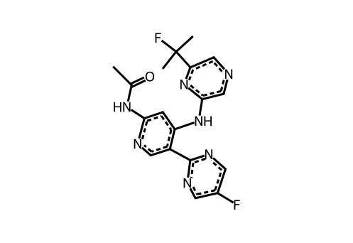 CC(=O)Nc1cc(Nc2cncc(C(C)(C)F)n2)c(-c2ncc(F)cn2)cn1